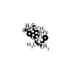 COC(=O)C1=C(C)NC(C)=C(C(=O)OCC(C)(C)CN(C)CCc2ccc(F)cc2)C1c1cc([N+](=O)[O-])ccc1F